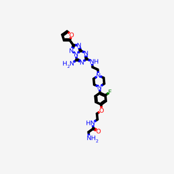 NCC(=O)NCCOc1ccc(N2CCN(CCNc3nc(N)n4nc(-c5ccco5)nc4n3)CC2)c(F)c1